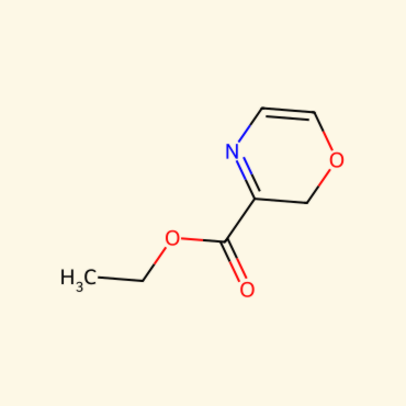 CCOC(=O)C1=NC=COC1